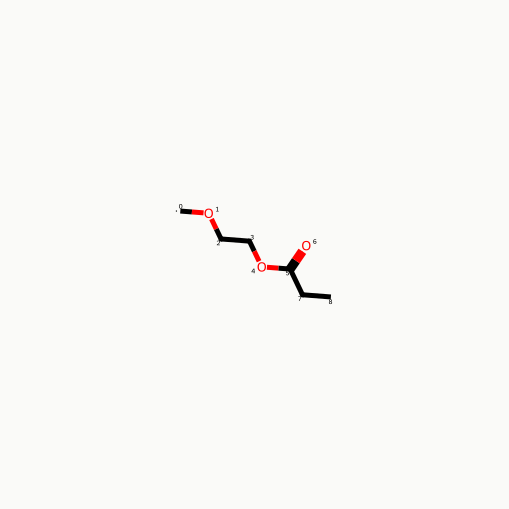 [CH2]OCCOC(=O)CC